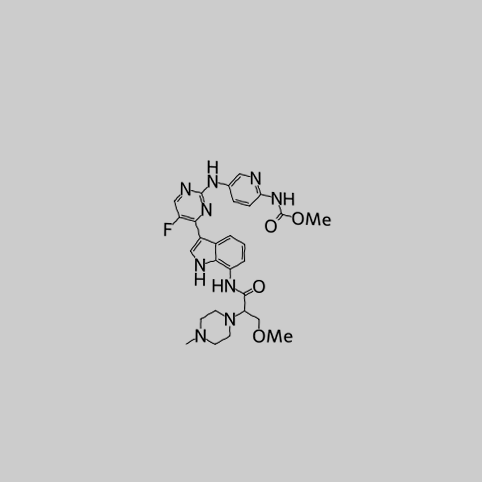 COCC(C(=O)Nc1cccc2c(-c3nc(Nc4ccc(NC(=O)OC)nc4)ncc3F)c[nH]c12)N1CCN(C)CC1